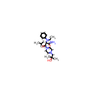 CCN(c1ccccc1)[C@@](CC(C)C)(C(N)=O)C(=O)N1CCN(CC(C)(C)O)CC1